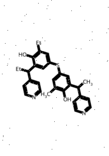 CCc1cc(Sc2cc(C)c(O)c(C(C)c3ccncc3)c2)cc(C(CC)c2ccncc2)c1O